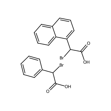 O=C(O)C(Br)c1cccc2ccccc12.O=C(O)C(Br)c1ccccc1